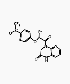 CCC(Oc1ccc([S+]([O-])C(F)(F)F)cc1)C(=O)N1CC(=O)Nc2cccnc21